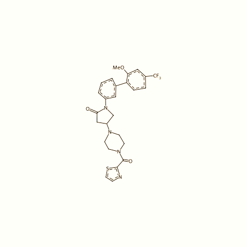 COc1cc(C(F)(F)F)ccc1-c1cccc(N2CC(N3CCN(C(=O)c4nccs4)CC3)CC2=O)c1